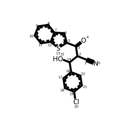 N#CC(C(=O)c1cc2ccccc2s1)C(O)c1ccc(Cl)cc1